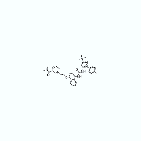 Cc1ccc(-n2nc(C(C)(C)C)cc2NC(=O)Nc2ccc(OCCN3CCOC(C(=O)N(C)C)C3)c3ccccc23)cn1